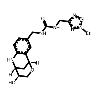 CCn1nnc(CNC(=O)NCc2ccc3c(c2)[C@H]2C[C@@H](N3)[C@H](O)CO2)n1